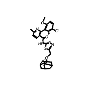 COc1ccc(Cl)c(F)c1-c1nc(C)ccc1C(=O)Nc1nnc(COC23CC4CC(C2)C(=O)C(C4)C3)s1